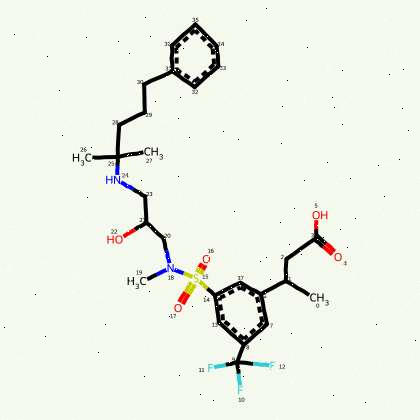 CC(CC(=O)O)c1cc(C(F)(F)F)cc(S(=O)(=O)N(C)CC(O)CNC(C)(C)CCCc2ccccc2)c1